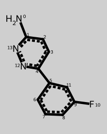 Nc1ccc(-c2cccc(F)c2)nn1